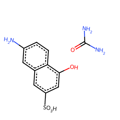 NC(N)=O.Nc1ccc2c(O)cc(S(=O)(=O)O)cc2c1